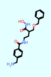 NCc1ccc(C(=O)NCCC(COCc2ccccc2)C(=O)NO)cc1